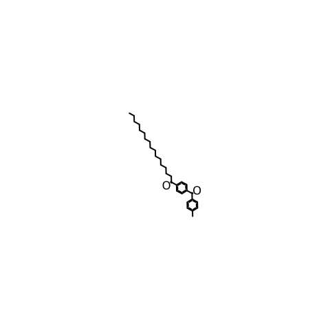 CCCCCCCCCCCCCCCCC(=O)c1ccc(C(=O)c2ccc(C)cc2)cc1